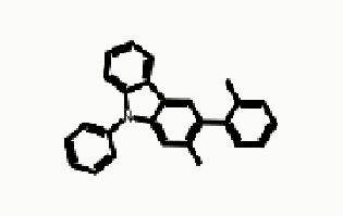 Cc1ccccc1-c1cc2c3ccccc3n(-c3ccccc3)c2cc1C